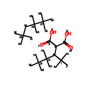 CC(C)(C)C(C(C(=O)O)C(=O)O)C(C)(C)C(C)(C)C.CC(C)(C)CC(C)(C)C(C)(C)C